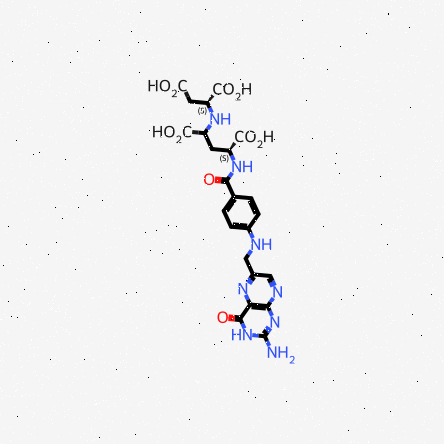 Nc1nc2ncc(CNc3ccc(C(=O)N[C@@H](CC(N[C@@H](CC(=O)O)C(=O)O)C(=O)O)C(=O)O)cc3)nc2c(=O)[nH]1